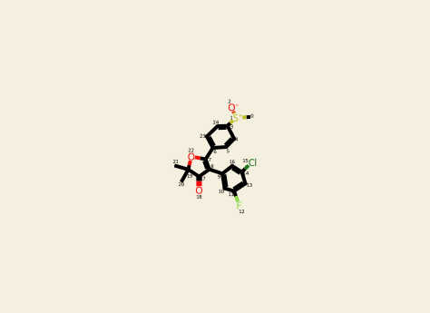 C[S+]([O-])c1ccc(C2=C(c3cc(F)cc(Cl)c3)C(=O)C(C)(C)O2)cc1